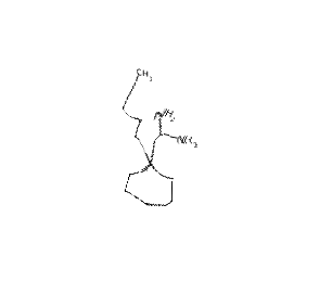 CCCCC1(C(N)N)CCCCC1